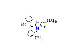 COc1ccc2c(c1)c(Cc1cccc(Br)c1C)cn2Cc1ccccc1C